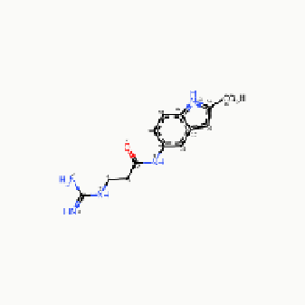 N=C(N)NCCC(=O)Nc1ccc2[nH]c(C(=O)O)cc2c1